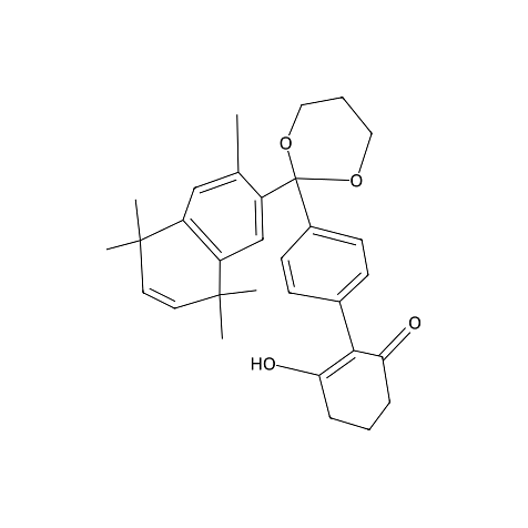 Cc1cc2c(cc1C1(c3ccc(C4=C(O)CCCC4=O)cc3)OCCCO1)C(C)(C)C=CC2(C)C